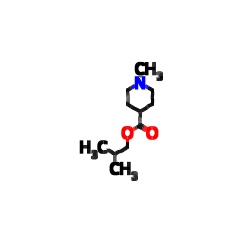 CC(C)COC(=O)C1CCN(C)CC1